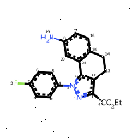 CCOC(=O)c1nn(-c2ccc(F)cc2)c2c1CCc1ccc(N)cc1-2